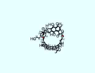 CC(=O)O[C@H]1[C@H](C)[C@H](O)[C@H](C)[C@@H](O)[C@@H](C)/C=C/C=C(/C)C(=O)Nc2c(/C=N/N3CCN(CCO)CC3)c(O)c3c4c(c(C)c(O)c3c2O)O[C@](C)(O/C=C/[C@H](C)[C@H]1C)C4=O